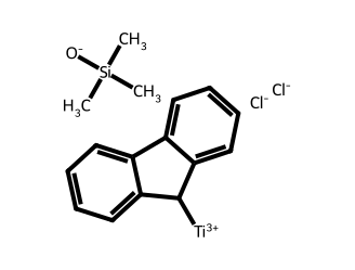 C[Si](C)(C)[O-].[Cl-].[Cl-].[Ti+3][CH]1c2ccccc2-c2ccccc21